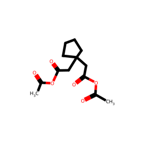 CC(=O)OC(=O)CC1(CC(=O)OC(C)=O)CCCC1